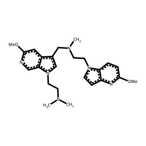 COc1cc2c(CN(C)CCn3ccc4nc(OC)ccc43)cn(CCN(C)C)c2cn1